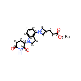 CC(C)(C)OC(=O)CCC1CN(c2cccc3c2CCN3[C@H]2CCC(=O)NC2=O)C1